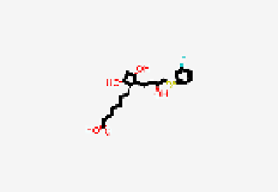 O=C(O)CCCCCC[C@@H]1C(CCC(O)CSc2cccc(F)c2)[C@H](O)C[C@@H]1O